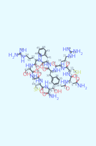 CC(=O)N[C@@H](CC(N)=O)C(=O)N[C@@H](CS)C(=O)N[C@@H](CCCNC(=N)N)C(=O)N[C@@H](Cc1ccccc1)C(=O)N[C@@H](Cc1ccccc1)C(=O)N[C@@H](CCCNC(=N)N)C(=O)N[C@@H](CO)C(=O)N[C@@H](C)C(=O)N[C@@H](CS)C(=O)N[C@@H](CO)C(N)=O